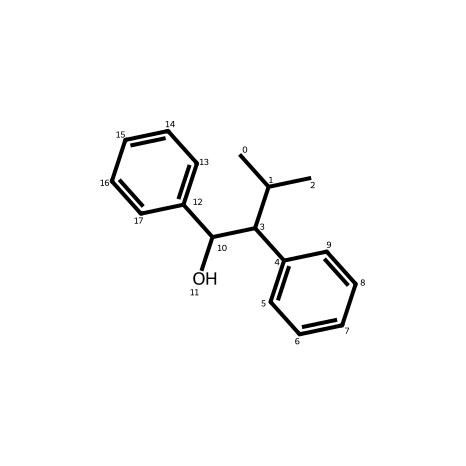 CC(C)C(c1ccccc1)C(O)c1ccccc1